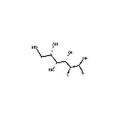 [2H]C(O)[C@@H](O)[C@@H](O)[C@H](O)[C@@H](O)CO